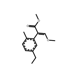 CCc1ccc(C)c(/C(=C\OC)C(=O)OC)c1